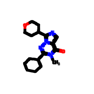 Cn1c(C2CCCCC2)nn2c(C3CCOCC3)ncc2c1=O